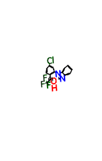 O[C@H](c1ccc(Cl)cc1-n1cnc2ccccc21)C(F)(F)F